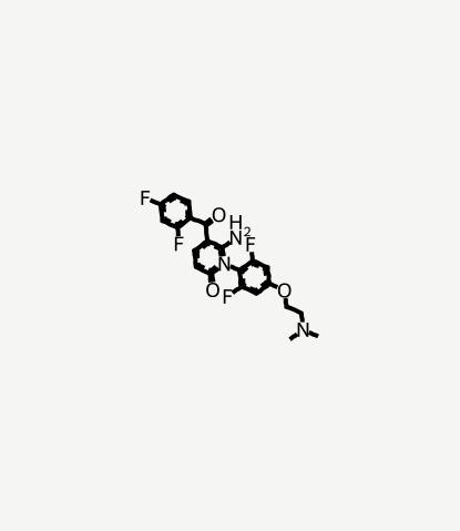 CN(C)CCOc1cc(F)c(-n2c(N)c(C(=O)c3ccc(F)cc3F)ccc2=O)c(F)c1